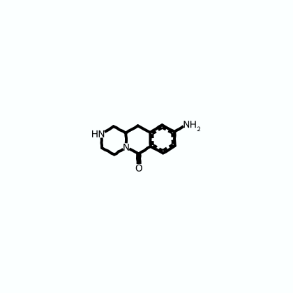 Nc1ccc2c(c1)CC1CNCCN1C2=O